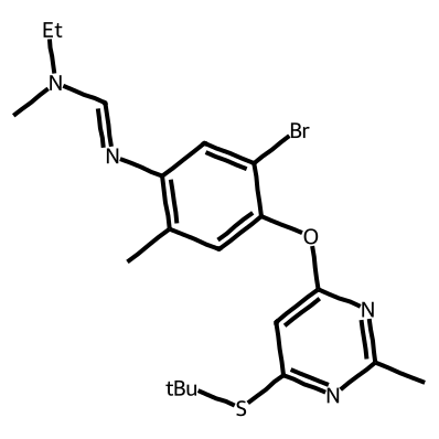 CCN(C)/C=N/c1cc(Br)c(Oc2cc(SC(C)(C)C)nc(C)n2)cc1C